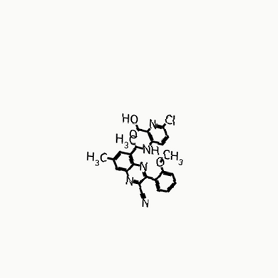 COc1ccccc1-c1nc2c([C@@H](C)Nc3ccc(Cl)nc3C(=O)O)cc(C)cc2nc1C#N